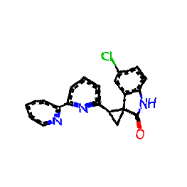 O=C1Nc2ccc(Cl)cc2C12CC2c1cccc(-c2ccccn2)n1